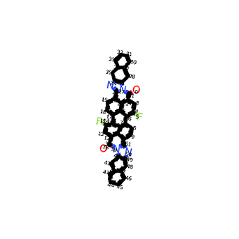 O=c1c2cc(F)c3c4ccc5c6c(cc(F)c(c7ccc(c2c73)c2nc3c(n12)C=C1C=CC=CC1C3)c46)c(=O)n1c2cc3ccccc3cc2nc51